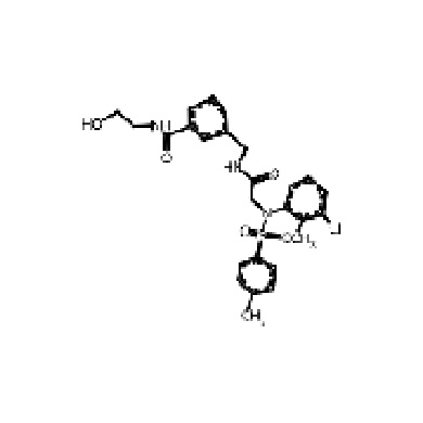 Cc1ccc(S(=O)(=O)N(CC(=O)NCc2cccc(C(=O)NCCO)c2)c2cccc(Cl)c2C)cc1